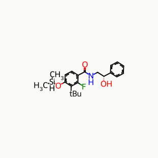 C[SiH](C)Oc1ccc(C(=O)NC[C@@H](O)c2ccccc2)c(F)c1C(C)(C)C